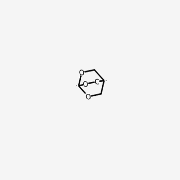 C1O[C]2OC[C]1CO2